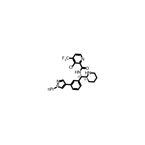 CCCn1cc(-c2cccc([C@H](NC(=O)c3nccc(C(F)(F)F)c3Cl)[C@@H]3CCCCN3)c2)cn1